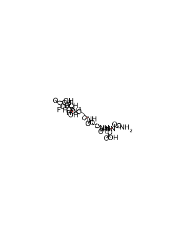 C[C@]12C=CC(=O)C=C1[C@@H](F)C[C@H]1[C@@H]3C[C@H]4CN(c5ccc(Cc6cccc(NC(=O)OCc7ccc(NC(=O)[C@H](CCC(=O)O)NC(=O)CNC(=O)CON)cc7)c6)cc5)C[C@@]4(C(=O)CO)[C@@]3(C)C[C@H](O)[C@@]12F